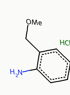 COCc1ccccc1N.Cl